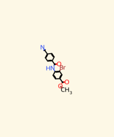 COC(=O)c1ccc(NC(=O)c2ccc(C#N)cc2)c(Br)c1